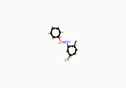 Cc1ccc(Cl)cc1NOc1ccccc1